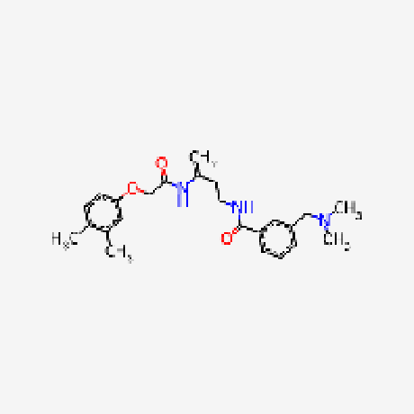 C=C(CCNC(=O)c1cccc(CN(C)C)c1)NC(=O)COc1ccc(C)c(C)c1